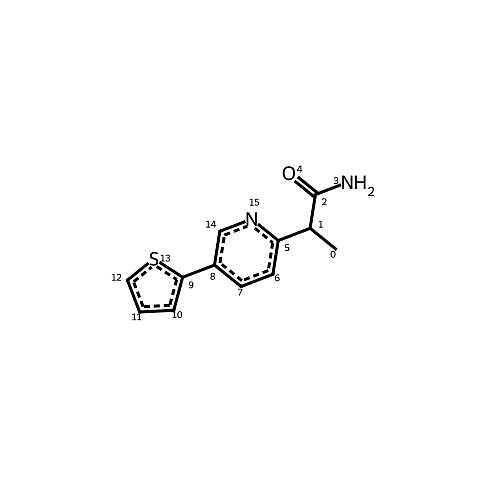 CC(C(N)=O)c1ccc(-c2cccs2)cn1